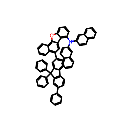 c1ccc(-c2ccc3c(c2)C(c2ccccc2)(c2ccccc2)c2cc(-c4cc5c(oc6cccc(N(c7ccc8ccccc8c7)c7ccc8ccccc8c7)c65)c5ccccc45)ccc2-3)cc1